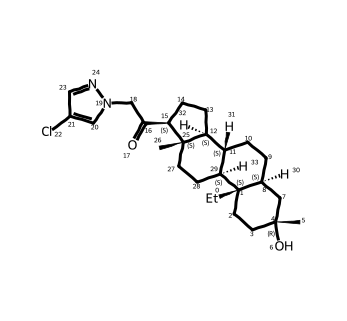 CC[C@]12CC[C@@](C)(O)C[C@@H]1CC[C@H]1[C@@H]3CC[C@H](C(=O)Cn4cc(Cl)cn4)[C@@]3(C)CC[C@@H]12